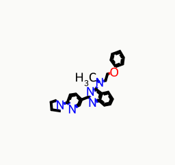 CN(CCOc1ccccc1)c1nc(-c2ccc(N3CCCC3)nc2)nc2ccccc12